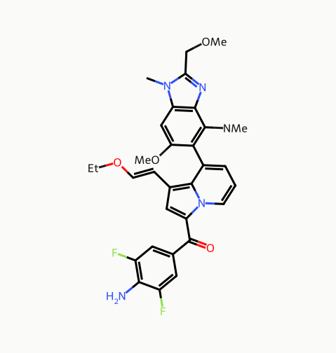 CCOC=Cc1cc(C(=O)c2cc(F)c(N)c(F)c2)n2cccc(-c3c(OC)cc4c(nc(COC)n4C)c3NC)c12